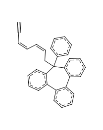 C#C/C=C\C=C/CC1(c2ccccc2)c2ccccc2-c2ccccc2-c2ccccc21